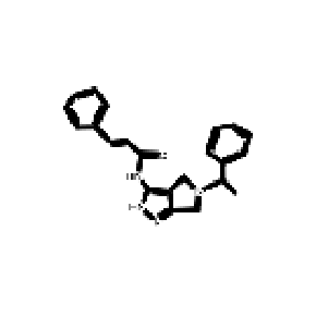 CC(c1ccccc1)N1Cc2n[nH]c(NC(=O)/C=C/c3ccccc3)c2C1